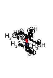 COCCNS(=O)(=O)CCCC1(C)C(/C=C/C=C2/N(CCOC)c3ccc(S(=O)(=O)N=O)cc3C2(C)CCCS(=O)(=O)O)=[N+](CCCCCC(=O)O)c2ccc(S(=O)(=O)O)cc21